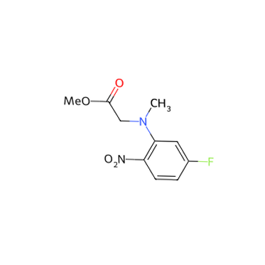 COC(=O)CN(C)c1cc(F)ccc1[N+](=O)[O-]